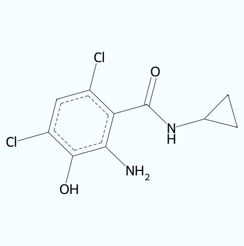 Nc1c(O)c(Cl)cc(Cl)c1C(=O)NC1CC1